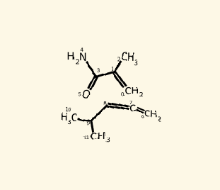 C=C(C)C(N)=O.C=C=CC(C)C